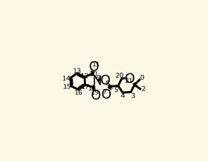 CC1(C)CCC(C(=O)ON2C(=O)c3ccccc3C2=O)CO1